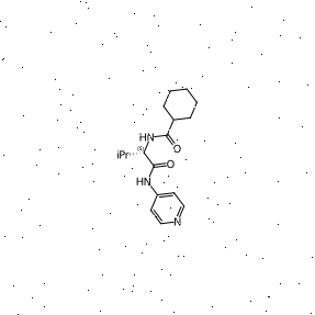 CC(C)[C@H](NC(=O)C1CCCCC1)C(=O)Nc1ccncc1